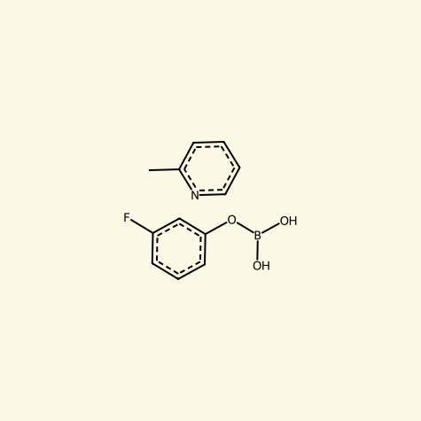 Cc1ccccn1.OB(O)Oc1cccc(F)c1